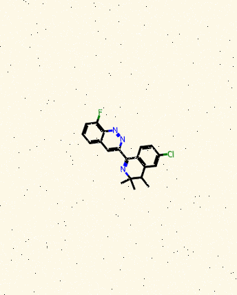 CC1c2cc(Cl)ccc2C(c2cc3cccc(F)c3nn2)=NC1(C)C